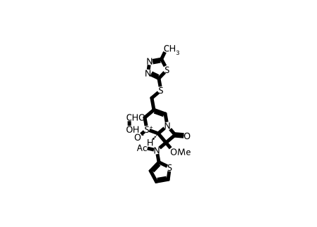 COC1(N(C(C)=O)c2cccs2)C(=O)N2C=C(CSc3nnc(C)s3)C[S+]([O-])[C@@H]21.O=CO